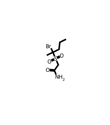 CCCC(C)(Br)S(=O)(=O)CC(N)=O